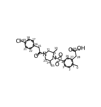 Cc1ccc(S(=O)(=O)N2C(C)CN(C(=O)Cc3ccc(Cl)cc3)CC2C)cc1CC(=O)O